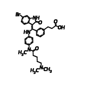 CN(C)CCCCC(=O)N(C)c1ccc(NC(=C2C(=O)Nc3cc(Br)ccc32)c2cccc(CCC(=O)O)c2)cc1